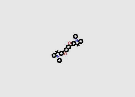 CC1(C)c2ccccc2N(c2ccccc2)c2cc3oc4c(c3cc21)=CC1C=c2oc3cc5c(cc3c2=CC1C=4)C(C)(C)c1ccccc1N5c1ccccc1